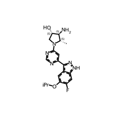 CC(C)Oc1cc2c(-c3cc(N4C[C@H](O)[C@@H](N)[C@@H]4C)ncn3)n[nH]c2cc1F